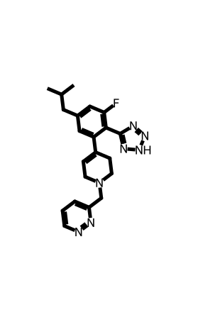 CC(C)Cc1cc(F)c(-c2nn[nH]n2)c(C2=CCN(Cc3cccnn3)CC2)c1